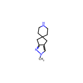 Cn1cc2c(n1)CC1(CCNCC1)C2